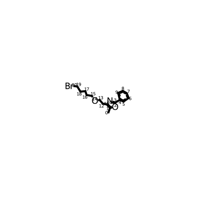 Cc1oc(-c2ccccc2)nc1CCOCCCCCBr